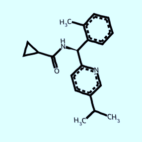 Cc1ccccc1[C@H](NC(=O)C1CC1)c1ccc(C(C)C)cn1